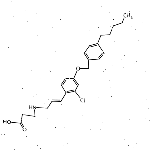 CCCCCc1ccc(COc2ccc(/C=C/CNCCC(=O)O)c(Cl)c2)cc1